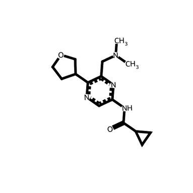 CN(C)Cc1nc(NC(=O)C2CC2)cnc1C1CCOC1